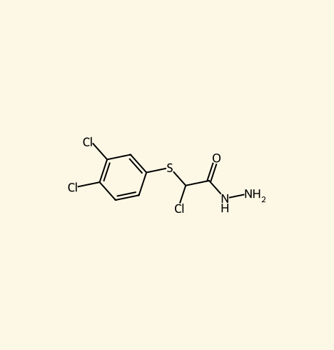 NNC(=O)C(Cl)Sc1ccc(Cl)c(Cl)c1